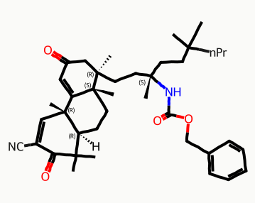 CCCC(C)(C)CC[C@@](C)(CC[C@]1(C)CC(=O)C=C2[C@@]3(C)C=C(C#N)C(=O)C(C)(C)[C@@H]3CC[C@]21C)NC(=O)OCc1ccccc1